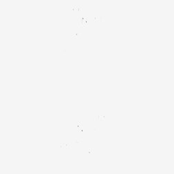 O=C1c2ccccc2C(=O)N1CCCCOc1ccc([N+](=O)[O-])cc1